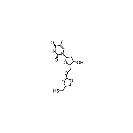 Cc1cn([C@H]2C[C@@H](O)[C@@H](COC3OCC(CS)O3)O2)c(=O)[nH]c1=O